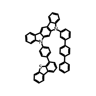 c1ccc(-c2ccc(-c3cccc(-n4c5ccccc5c5cc6c7ccccc7n(-c7ccc(-c8cccc9c8sc8ccccc89)cc7)c6cc54)c3)cc2)cc1